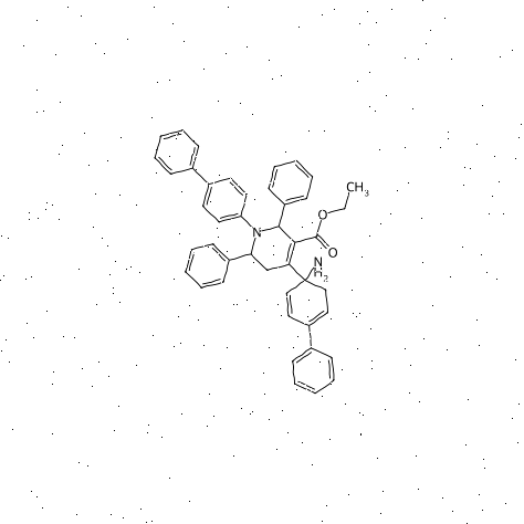 CCOC(=O)C1=C(C2(N)C=CC(c3ccccc3)=CC2)CC(c2ccccc2)N(c2ccc(-c3ccccc3)cc2)C1c1ccccc1